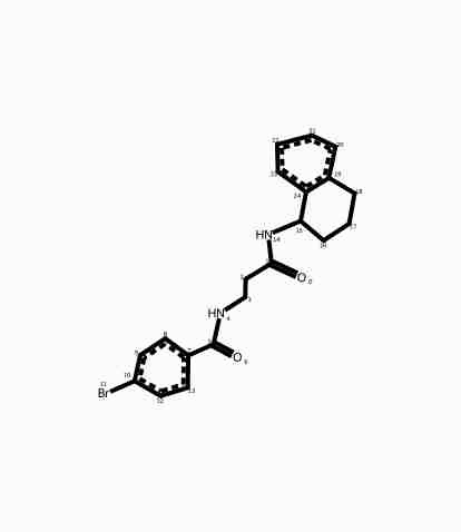 O=C(CCNC(=O)c1ccc(Br)cc1)NC1CCCc2ccccc21